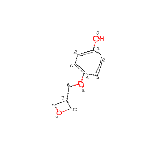 Oc1ccc(OCC2COC2)cc1